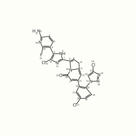 Nc1ccc(-c2[nH]c(C3=CCc4cc(-c5cc(Cl)ccc5-n5cc(Cl)nn5)cc(=O)n43)nc2Cl)c(F)n1